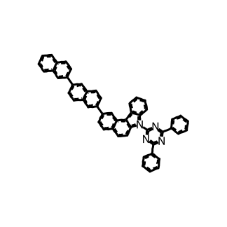 c1ccc(-c2nc(-c3ccccc3)nc(-n3c4ccccc4c4c5cc(-c6ccc7cc(-c8ccc9ccccc9c8)ccc7c6)ccc5ccc43)n2)cc1